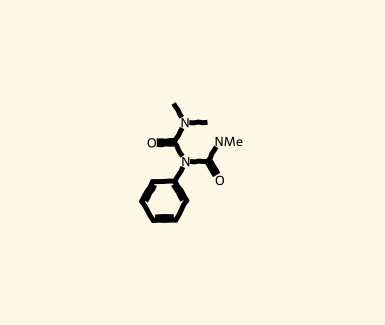 CNC(=O)N(C(=O)N(C)C)c1ccccc1